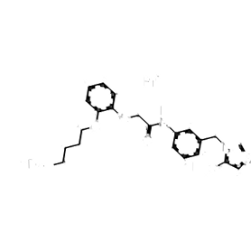 CCCCCCCCCCCCCCOc1ccccc1OCC(=O)Nc1cccc(C[n+]2cscc2C)c1.[Br-]